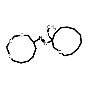 COC1(/N=N/C2CCCCCCCCCCC2)CCCCCCCCCCC1